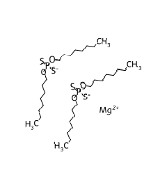 CCCCCCCCOP(=S)([S-])OCCCCCCCC.CCCCCCCCOP(=S)([S-])OCCCCCCCC.[Mg+2]